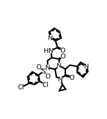 O=C(NC1CN(S(=O)(=O)c2ccc(Cl)cc2Cl)C2CN(C3CC3)C(=O)C(Cc3cccnc3)N2C1=O)c1ccccn1